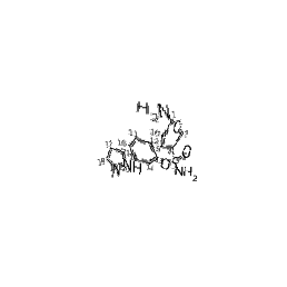 Nc1ccc(S(N)(=O)=O)cc1.c1ccccc1.c1cn[nH]c1